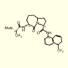 CN[C@@H](C)C(=O)N[C@H]1CCCC2CC[C@@H](C(=O)N[C@@H]3CCCC4=C3C=CCC4C)N2C1=O